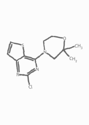 CC1(C)CN(c2nc(Cl)nc3ccsc23)CCO1